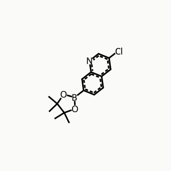 CC1(C)OB(c2ccc3cc(Cl)cnc3c2)OC1(C)C